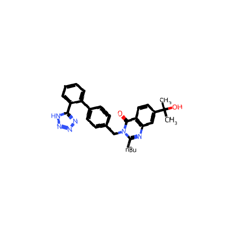 CCCCc1nc2cc(C(C)(C)O)ccc2c(=O)n1Cc1ccc(-c2ccccc2-c2nnn[nH]2)cc1